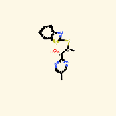 Cc1cnc([C@H](O)[C@H](C)Sc2nc3ccccc3s2)nc1